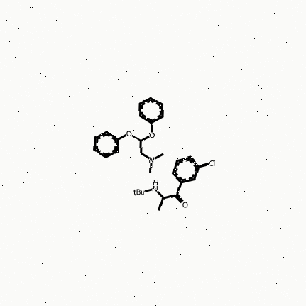 CC(NC(C)(C)C)C(=O)c1cccc(Cl)c1.CN(C)CC(Oc1ccccc1)Oc1ccccc1